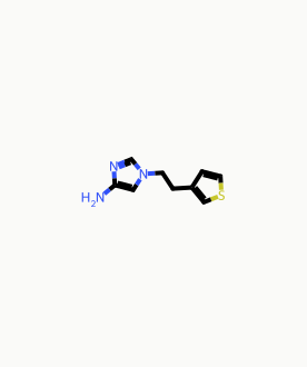 Nc1cn(CCc2ccsc2)cn1